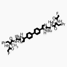 CC(C)CC(C)(NC(=O)CF)C(=O)N[C@H](c1ncc(-c2ccc(-c3ccc(-c4cnc([C@@H](NC(=O)C(C)(CC(C)C)NC(=O)CF)C(C)(C)C)[nH]4)cc3)cc2)[nH]1)C(C)(C)C